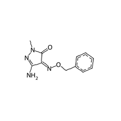 CN1N=C(N)C(=NOCc2ccccc2)C1=O